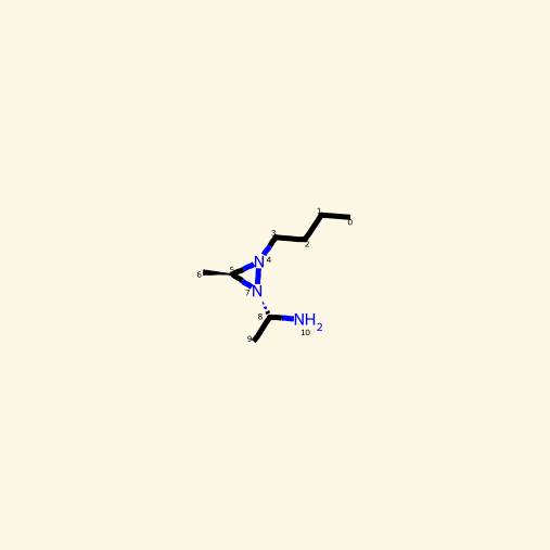 CCCCN1[C@H](C)[N@@]1C(C)N